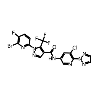 O=C(Nc1cnc(-n2nccn2)c(Cl)c1)c1cnn(-c2ccc(F)c(Br)n2)c1C(F)(F)F